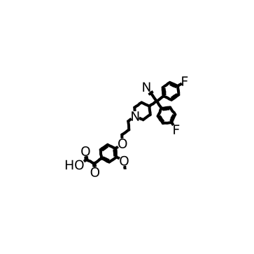 COc1cc(C(=O)C(=O)O)ccc1OCCCN1CCC(C(C#N)(c2ccc(F)cc2)c2ccc(F)cc2)CC1